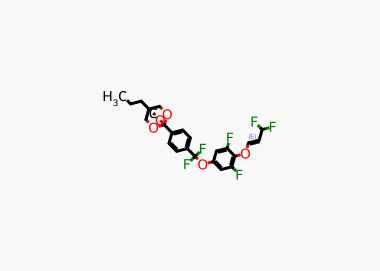 CCCC12COC(c3ccc(C(F)(F)Oc4cc(F)c(O/C=C/C(F)F)c(F)c4)cc3)(OC1)OC2